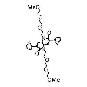 COCCOCCOCCn1c(=O)c(-c2cccs2)cc2c1cc(-c1cccs1)c(=O)n2CCOCCOCCOC